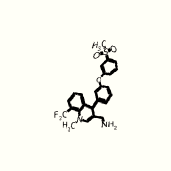 CN1C=C(CN)C(c2cccc(Oc3cccc(S(C)(=O)=O)c3)c2)c2cccc(C(F)(F)F)c21